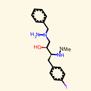 CNN[C@@H](Cc1ccc(I)cc1)[C@@H](O)CN(N)Cc1ccccc1